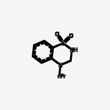 CCCN1CNS(=O)(=O)c2ccccc21